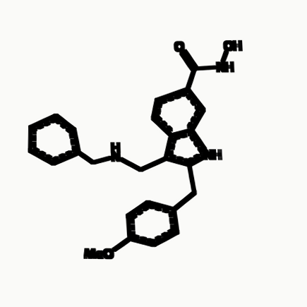 COc1ccc(Cc2[nH]c3cc(C(=O)NO)ccc3c2CNCc2ccccc2)cc1